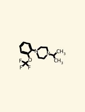 CC(C)N1CCN(c2ccccc2OC(F)(F)F)CC1